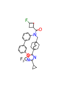 O=C(N(CC12CCC(c3nc(C4CC4)no3)(CC1)CC2)c1cccc(-c2cccc(OC(F)(F)F)c2)c1)C12CC(F)(C1)C2